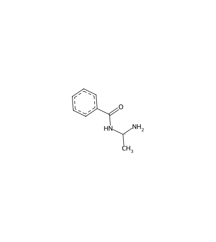 C[C](N)NC(=O)c1ccccc1